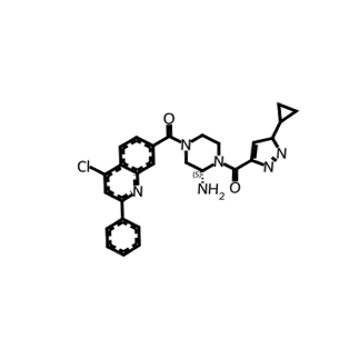 N[C@@H]1CN(C(=O)c2ccc3c(Cl)cc(-c4ccccc4)nc3c2)CCN1C(=O)C1=CC(C2CC2)N=N1